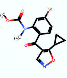 COC(=O)N(C)c1cc(Br)ccc1C(=O)c1cnoc1C1CC1